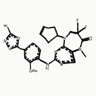 COc1cc(-c2nnc(Br)o2)ccc1Nc1ncc2c(n1)N(C1CCCC1)CC(F)(F)C(=O)N2C